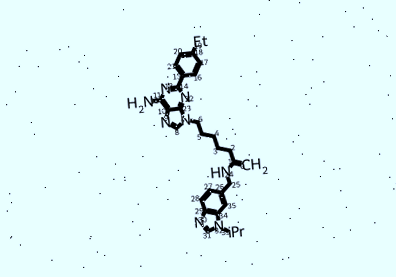 C=C(CCCCCn1cnc2c(N)nc(-c3ccc(CC)cc3)nc21)NCc1ccc2ncn(C(C)C)c2c1